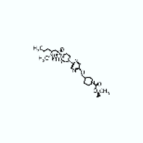 CCCC(CS(=O)(=O)N1CCN(c2cnc(OCC3CCN(C(=O)OC4(C)CC4)CC3)cn2)CC1)N(C)C